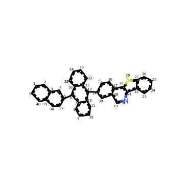 c1ccc2cc(-c3c4ccccc4c(-c4ccc5c(cnc6c7ccccc7sc56)c4)c4ccccc34)ccc2c1